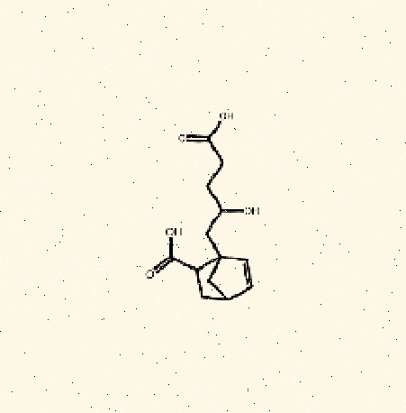 O=C(O)CCC(O)CC12C=CC(CC1C(=O)O)C2